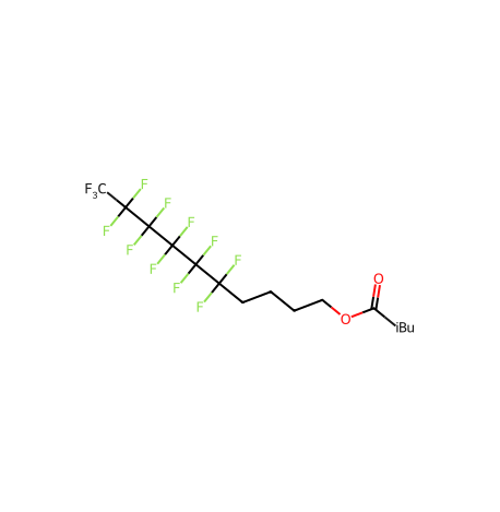 CCC(C)C(=O)OCCCCC(F)(F)C(F)(F)C(F)(F)C(F)(F)C(F)(F)C(F)(F)F